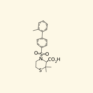 Cc1ccccc1-c1ccc(S(=O)(=O)N2CCSC(C)(C)[C@@H]2C(=O)O)cc1